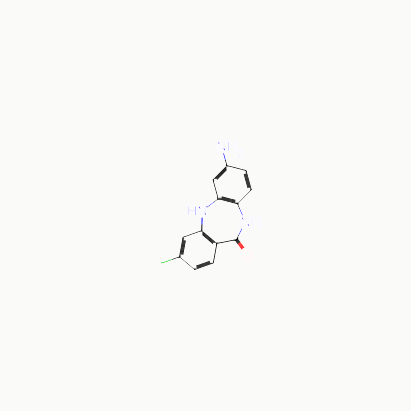 Nc1ccc2c(c1)Nc1cc(Cl)ccc1C(=O)N2